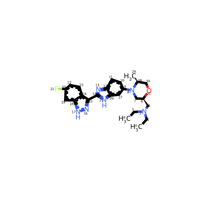 CCN(CC)C[C@H]1CN(c2ccc3nc(-c4n[nH]c5cc(F)ccc45)[nH]c3c2)[C@H](C)CO1